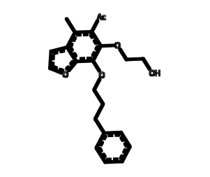 CC(=O)c1c(OCCO)c(OCCCc2ccccc2)c2occc2c1C